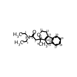 CCN(CC)C(=O)CC1(C)OCCC2=C1Cc1ccccc12